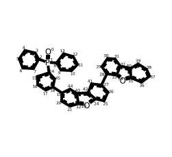 O=P(c1ccccc1)(c1ccccc1)c1cccc(-c2ccc3oc4ccc(-c5cccc6c5oc5ccccc56)cc4c3c2)c1